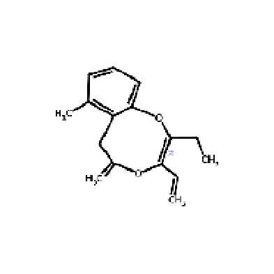 C=C/C1=C(\CC)Oc2cccc(C)c2CC(=C)O1